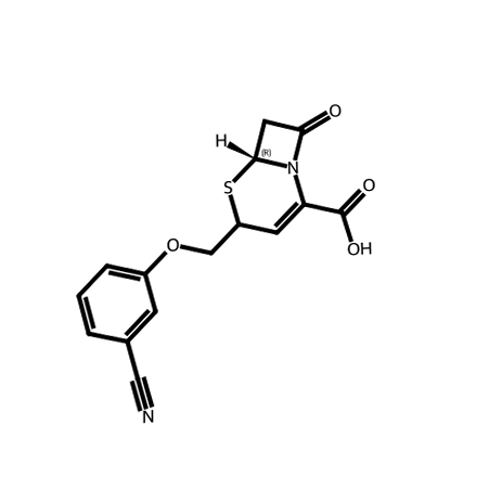 N#Cc1cccc(OCC2C=C(C(=O)O)N3C(=O)C[C@H]3S2)c1